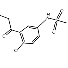 CCC(=O)c1cc(NS(C)(=O)=O)ccc1Cl